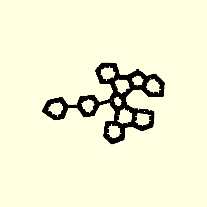 c1ccc(-c2ccc(-n3c4c5ccccc5c5ccccc5c4c4c5c6ccccc6sc5c5ccccc5c43)cc2)cc1